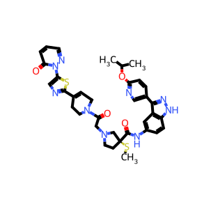 CS[C@@]1(C(=O)Nc2ccc3[nH]nc(-c4ccc(OC(C)C)nc4)c3c2)CCN(CC(=O)N2CC=C(c3ncc(-n4ncccc4=O)s3)CC2)C1